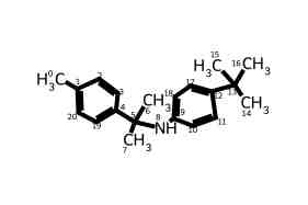 Cc1ccc(C(C)(C)Nc2ccc(C(C)(C)C)cc2)cc1